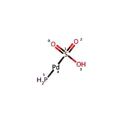 O=[S](=O)(O)[Pd][PH2]